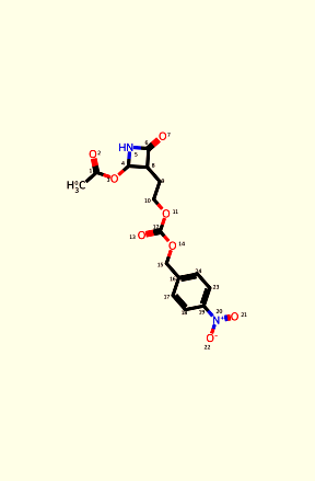 CC(=O)OC1NC(=O)C1CCOC(=O)OCc1ccc([N+](=O)[O-])cc1